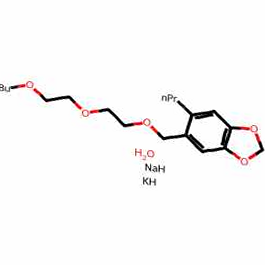 CCCCOCCOCCOCc1cc2c(cc1CCC)OCO2.O.[KH].[NaH]